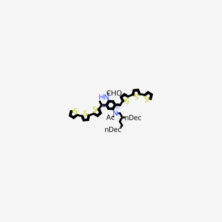 CCCCCCCCCCCCC(CCCCCCCCCC)CN(C(C)=O)c1c/c(=C(/C)c2ccc(-c3ccc(-c4cccs4)s3)s2)c(NC=O)c/c1=C\c1ccc(-c2ccc(-c3cccs3)s2)s1